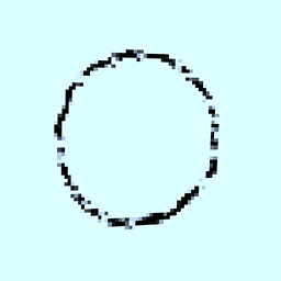 [C]1=C\C=CCCCCCCCCCCCCCCCCCCCCCCCCCC/1